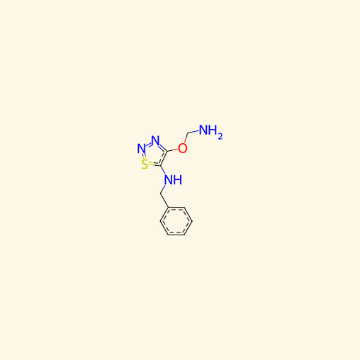 NCOc1nnsc1NCc1ccccc1